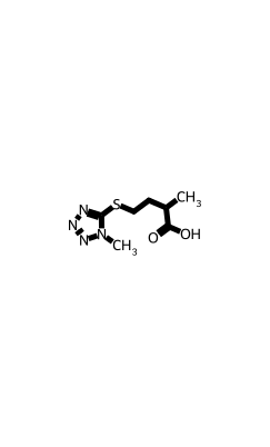 CC(CCSc1nnnn1C)C(=O)O